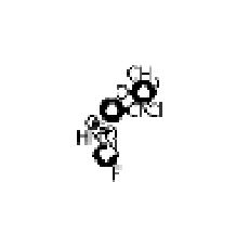 Cc1ccc(Cl)cc1Oc1ccc(S(=O)(=O)Nc2ccc(F)cn2)cc1C#N